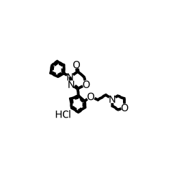 Cl.O=C1COC(c2ccccc2OCCN2CCOCC2)=NN1c1ccccc1